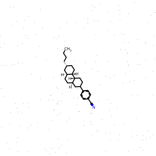 CCCC[C@@H]1CC[C@H]2[C@@H](CC[C@@H]3CC(c4ccc(C#N)cc4)CC[C@H]32)C1